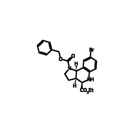 CCOC(=O)[C@@H]1Nc2ccc(Br)cc2[C@H]2[C@@H]1CCN2C(=O)OCc1ccccc1